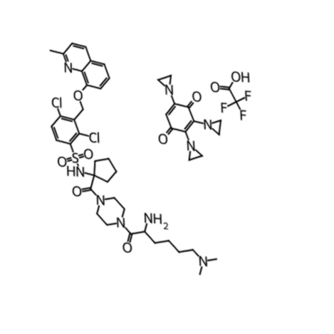 Cc1ccc2cccc(OCc3c(Cl)ccc(S(=O)(=O)NC4(C(=O)N5CCN(C(=O)C(N)CCCCN(C)C)CC5)CCCC4)c3Cl)c2n1.O=C(O)C(F)(F)F.O=C1C=C(N2CC2)C(=O)C(N2CC2)=C1N1CC1